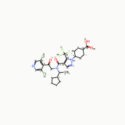 CC(C1CCCC1)N(CC(=O)c1c(Cl)cncc1Cl)C(=O)c1cnn(C2CCC(C(=O)O)CC2)c1C(F)(F)F